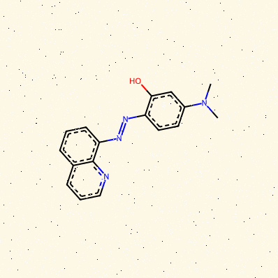 CN(C)c1ccc(N=Nc2cccc3cccnc23)c(O)c1